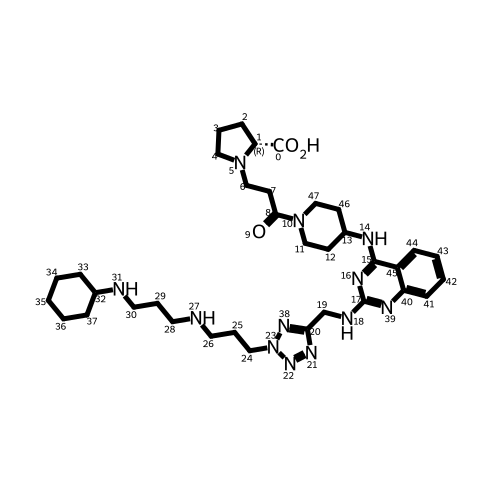 O=C(O)[C@H]1CCCN1CCC(=O)N1CCC(Nc2nc(NCc3nnn(CCCNCCCNC4CCCCC4)n3)nc3ccccc23)CC1